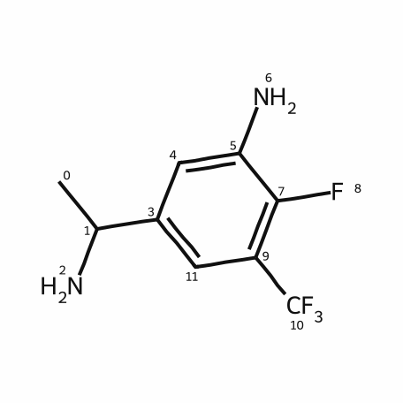 CC(N)c1cc(N)c(F)c(C(F)(F)F)c1